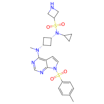 Cc1ccc(S(=O)(=O)n2ccc3c(N(C)[C@H]4C[C@@H](N(C5CC5)S(=O)(=O)C5CNC5)C4)ncnc32)cc1